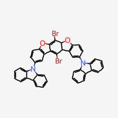 BrC1=c2oc3ccc(-n4c5ccccc5c5ccccc54)cc3c2=C(Br)C2c3cc(-n4c5ccccc5c5ccccc54)ccc3OC12